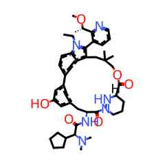 CCn1c(-c2cccnc2[C@H](C)OC)c2c3cc(ccc31)-c1cc(O)cc(c1)C[C@H](NC(=O)[C@H](C1CCCC1)N(C)C)C(=O)N1CCC[C@H](N1)C(=O)OCC(C)(C)C2